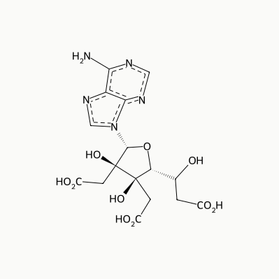 Nc1ncnc2c1ncn2[C@@H]1O[C@H](C(O)CC(=O)O)[C@](O)(CC(=O)O)[C@]1(O)CC(=O)O